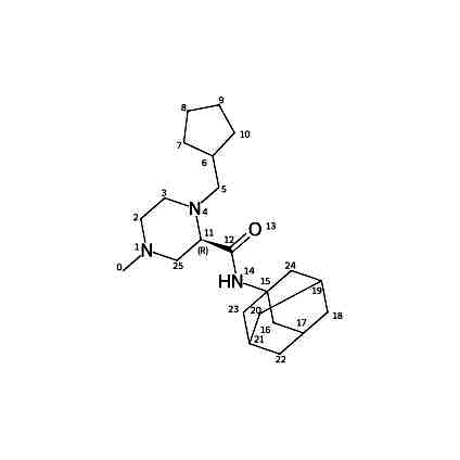 CN1CCN(CC2CCCC2)[C@@H](C(=O)NC23CC4CC(CC(C4)C2)C3)C1